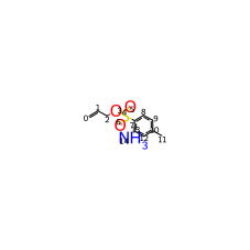 C=CCOS(=O)(=O)c1ccc(C)cc1.N